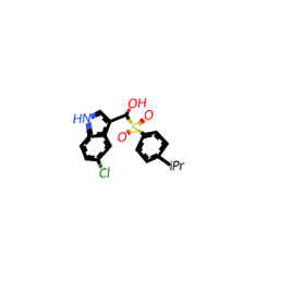 CC(C)c1ccc(S(=O)(=O)C(O)c2c[nH]c3ccc(Cl)cc23)cc1